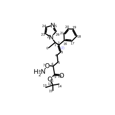 CC(/C(=C\CCC(ON)C(=O)OC(C)(C)C)c1ccccc1)n1ccnc1